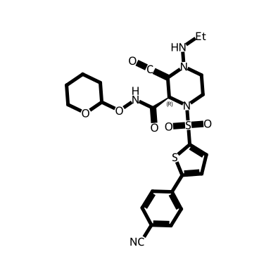 CCNN1CCN(S(=O)(=O)c2ccc(-c3ccc(C#N)cc3)s2)[C@@H](C(=O)NOC2CCCCO2)C1=C=O